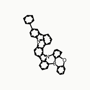 c1ccc(-c2ccc3c(c2)c2cccc4c5c6c(ccc5n3c24)c2cccc3c2n6-c2cccc4c2B3c2ccccc2O4)cc1